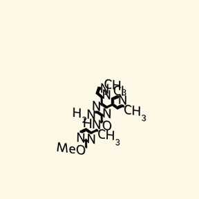 COCc1nccc(C(C)NC(=O)c2nc(-c3cc(C)nc(Cl)c3)c(-c3ccn(C)n3)nc2N)n1